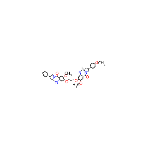 COc1ccc(C2=CN3C(=O)c4cc(OC)c(OCCCOc5cc6c(cc5OC)C(=O)N5C=C(c7ccccc7)CC5C=N6)cc4N=C[C@@H]3C2)cc1